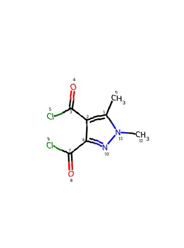 Cc1c(C(=O)Cl)c(C(=O)Cl)nn1C